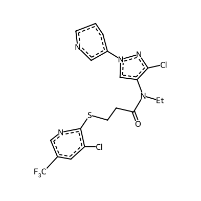 CCN(C(=O)CCSc1ncc(C(F)(F)F)cc1Cl)c1cn(-c2cccnc2)nc1Cl